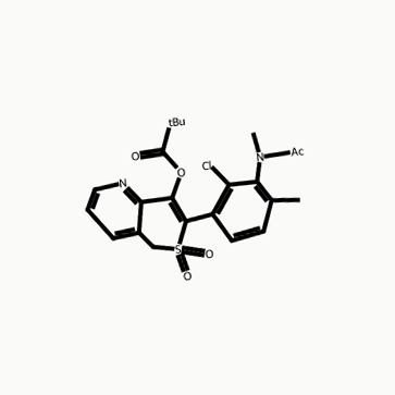 CC(=O)N(C)c1c(C)ccc(C2=C(OC(=O)C(C)(C)C)c3ncccc3CS2(=O)=O)c1Cl